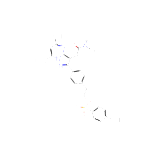 CCN(CC)C(=O)Cc1c(-c2ccc(CCOS(=O)(=O)c3ccc(C)cc3)cc2)nn2c(C)cc(C)nc12